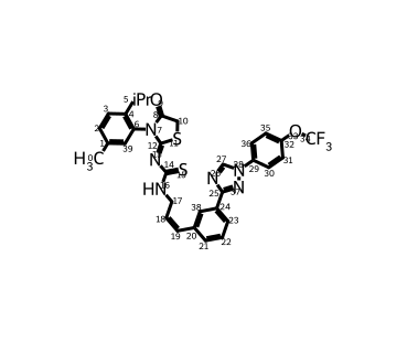 Cc1ccc(C(C)C)c(N2C(=O)CS/C2=N\C(=S)NC/C=C\c2cccc(-c3ncn(-c4ccc(OC(F)(F)F)cc4)n3)c2)c1